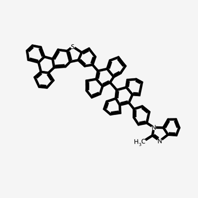 Cc1nc2ccccc2n1-c1ccc(-c2c3ccccc3c(-c3c4ccccc4c(-c4ccc5sc6cc7c8ccccc8c8ccccc8c7cc6c5c4)c4ccccc34)c3ccccc23)cc1